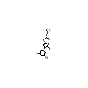 CCOC(=O)Oc1cc(-c2cc(F)cc(Cl)c2)c(Br)o1